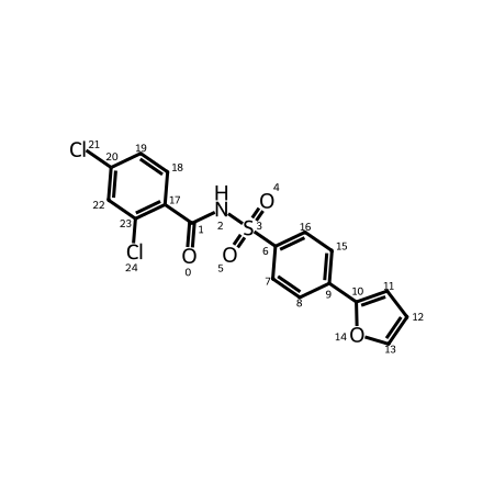 O=C(NS(=O)(=O)c1ccc(-c2ccco2)cc1)c1ccc(Cl)cc1Cl